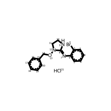 Brc1ccccc1/N=C1\NCCN1OCc1ccccc1.Cl